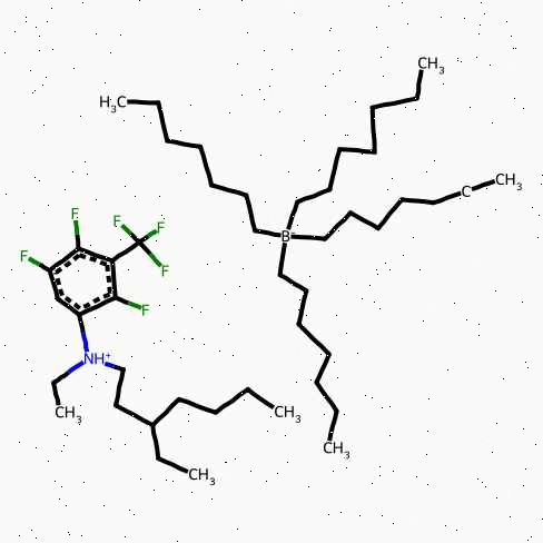 CCCCC(CC)CC[NH+](CC)c1cc(F)c(F)c(C(F)(F)F)c1F.CCCCCCC[B-](CCCCCCC)(CCCCCCC)CCCCCCC